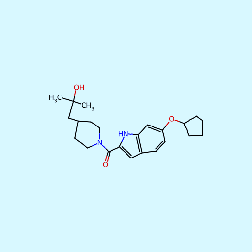 CC(C)(O)CC1CCN(C(=O)c2cc3ccc(OC4CCCC4)cc3[nH]2)CC1